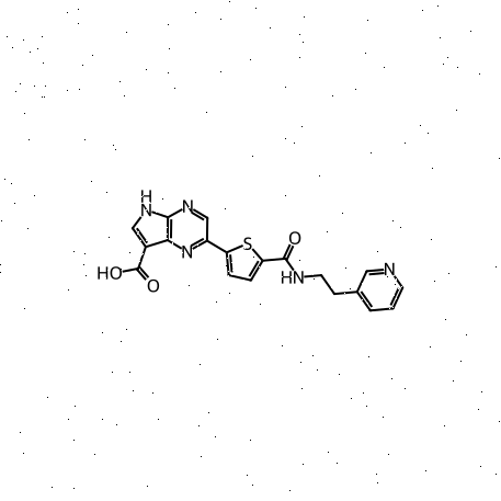 O=C(NCCc1cccnc1)c1ccc(-c2cnc3[nH]cc(C(=O)O)c3n2)s1